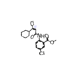 COC(=O)c1cc(Cl)ccc1NC(=O)/C=C(/Cl)C1CCCCC1